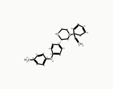 C=C[C@]1(N2CCO[C@@H](c3ccc(Oc4ccc(C)cc4)cc3)C2)C=CC=CC1